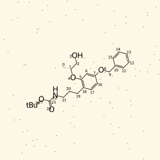 C[C@H](CO)Oc1cc(OCc2ccccc2)ccc1CCCNC(=O)OC(C)(C)C